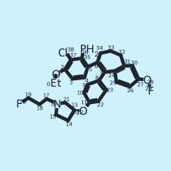 CCOc1ccc(C2=C(c3ccc(O[C@H]4CCN(CCCF)C4)cc3)c3ccc(OF)cc3CCC2)c(P)c1Cl